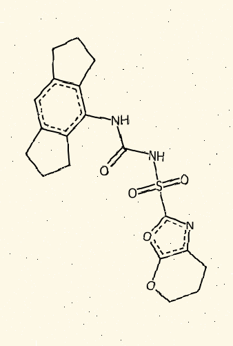 O=C(Nc1c2c(cc3c1CCC3)CCC2)NS(=O)(=O)c1nc2c(o1)OCCC2